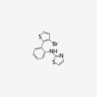 Brc1ccsc1-c1ccccc1Nc1nccs1